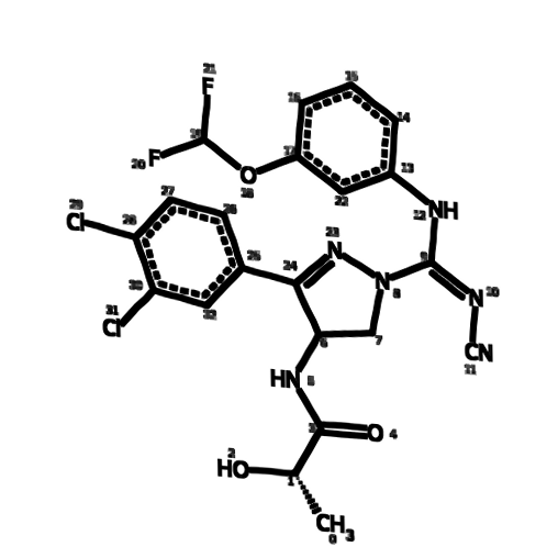 C[C@H](O)C(=O)NC1CN(/C(=N\C#N)Nc2cccc(OC(F)F)c2)N=C1c1ccc(Cl)c(Cl)c1